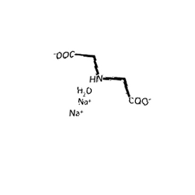 O.O=C([O-])CNCC(=O)[O-].[Na+].[Na+]